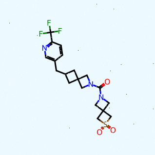 O=C(N1CC2(CC(Cc3ccc(C(F)(F)F)nc3)C2)C1)N1CC2(C1)CS(=O)(=O)C2